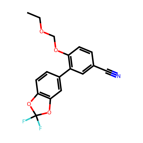 CCOCOc1ccc(C#N)cc1-c1ccc2c(c1)OC(F)(F)O2